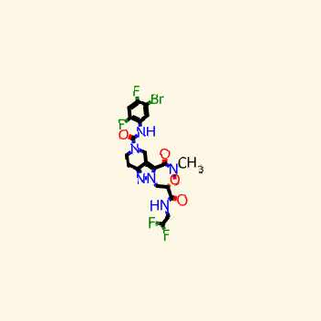 CN1OC(C(=O)NCC(F)F)Cn2nc3c(c2C1=O)CN(C(=O)Nc1cc(Br)c(F)cc1F)CC3